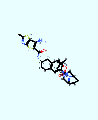 Cc1nc2sc(C(=O)N[C@H]3CCc4cc(N5CC6CCC(C5)N6C(=O)OC(C)(C)C)ccc4C3)c(N)c2s1